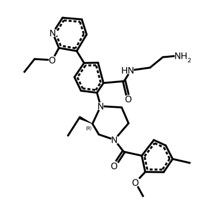 CCOc1ncccc1-c1ccc(N2CCN(C(=O)c3ccc(C)cc3OC)C[C@H]2CC)c(C(=O)NCCN)c1